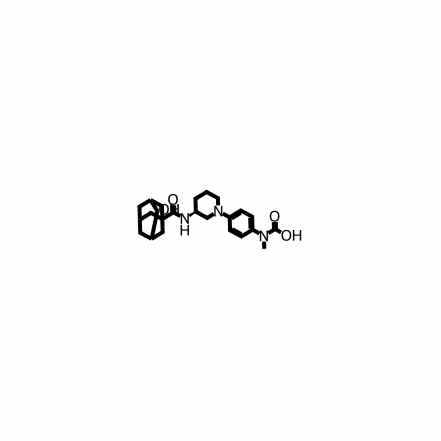 CN(C(=O)O)c1ccc(N2CCC[C@H](NC(=O)C34CC5CC(C3)C(O)C(C5)C4)C2)cc1